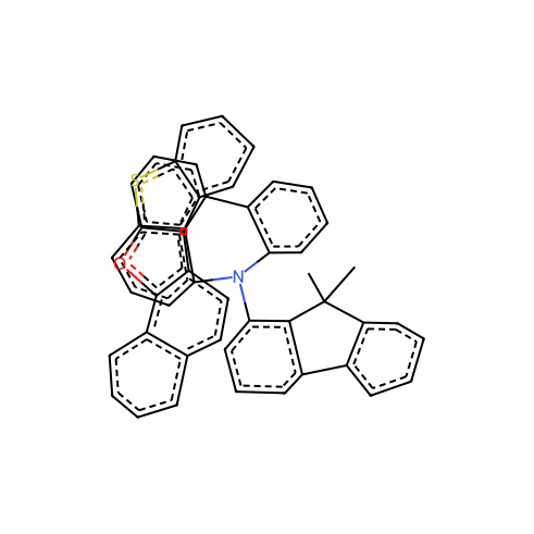 CC1(C)c2ccccc2-c2cccc(N(c3ccccc3-c3cccc4oc5c6ccccc6ccc5c34)c3cccc4sc5ccccc5c34)c21